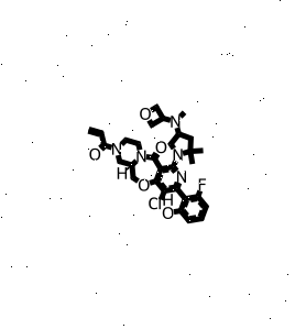 C=CC(=O)N1CCN2C(=O)c3c(N4CC(N(C)C5COC5)CC4(C)C)nc(-c4c(O)cccc4F)c(Cl)c3OC[C@H]2C1